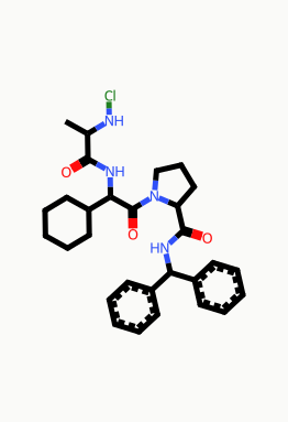 CC(NCl)C(=O)NC(C(=O)N1CCCC1C(=O)NC(c1ccccc1)c1ccccc1)C1CCCCC1